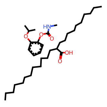 CCCCCCCCCCCCC(CCCCCCCCCC)C(=O)O.CNC(=O)Oc1ccccc1OC(C)C